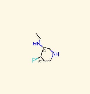 CCN[C@H]1CNCC[C@H]1F